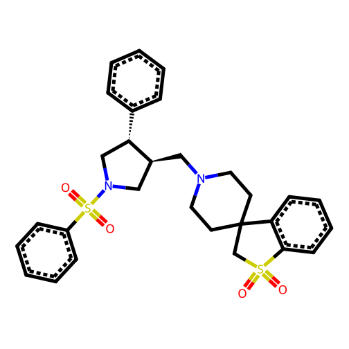 O=S1(=O)CC2(CCN(C[C@H]3CN(S(=O)(=O)c4ccccc4)C[C@@H]3c3ccccc3)CC2)c2ccccc21